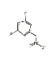 O=[N+]([O-])Cc1cc(F)cc(F)c1